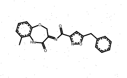 Cc1cccc2c1NC(=O)/C(=N/C(=O)c1cc(Cc3ccccc3)on1)CO2